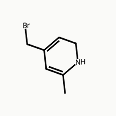 CC1=CC(CBr)=CCN1